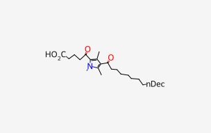 CCCCCCCCCCCCCCCCCC(=O)c1c(C)c(C(=O)CCCC(=O)O)n(C)c1C